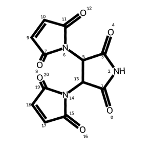 O=C1NC(=O)C(N2C(=O)C=CC2=O)C1N1C(=O)C=CC1=O